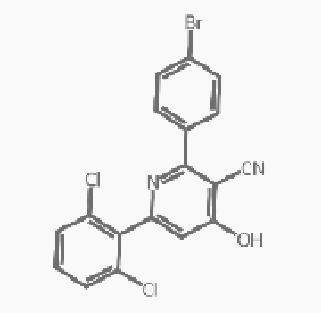 N#Cc1c(O)cc(-c2c(Cl)cccc2Cl)nc1-c1ccc(Br)cc1